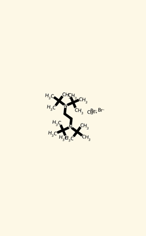 CC(C)(C)N(CCN(C(C)(C)C)C(C)(C)C)C(C)(C)C.[Br-].[Br-].[Cu+2]